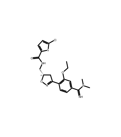 CCOc1cc(C(=N)N(C)C)ccc1C1=NO[C@H](CNC(=O)c2ccc(Cl)s2)C1